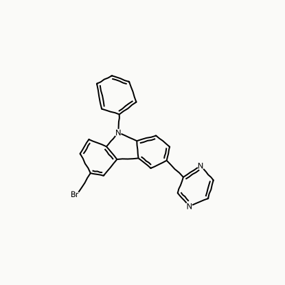 Brc1ccc2c(c1)c1cc(-c3cnccn3)ccc1n2-c1ccccc1